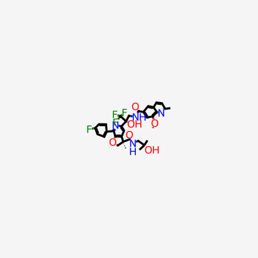 COc1cc(C(=O)NCC(O)(c2cc3c(c(-c4ccc(F)cc4)n2)OC[C@]3(C)C(=O)NCC(C)(C)O)C(F)(F)F)cc2ccc(C)nc12